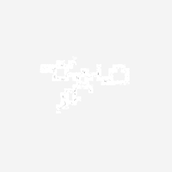 C[C@@H]1C(C(=O)NC2CCCCCC2)=NN(c2ccc(Cl)cc2Cl)[C@@H]1c1ccc(Cl)cc1